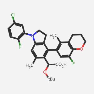 Cc1cc2c(c(-c3cc(F)c4c(c3C)CCCO4)c1[C@H](OC(C)(C)C)C(=O)O)CCN2c1cc(Cl)ccc1F